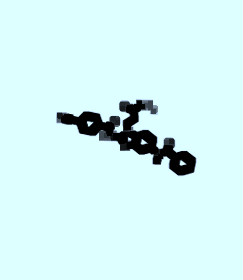 CN(C(=O)c1ccccc1)c1ccc2c(c1)nc(NC(=O)c1ccc(C#N)cc1)n2CCC(N)=O